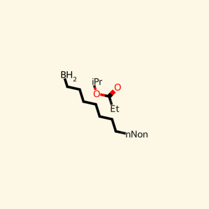 BCCCCCCCCCCCCCCCC.CCC(=O)OC(C)C